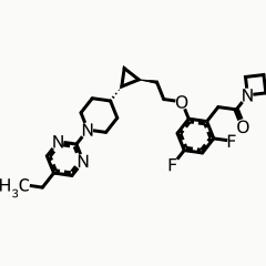 CCc1cnc(N2CCC([C@@H]3C[C@H]3CCOc3cc(F)cc(F)c3CC(=O)N3CCC3)CC2)nc1